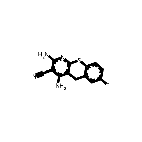 N#Cc1c(N)nc2c(c1N)Cc1cc(F)ccc1S2